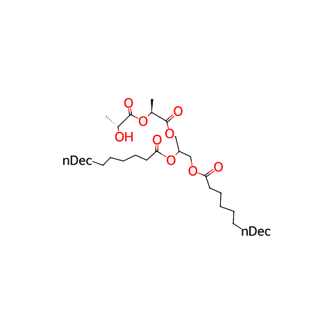 CCCCCCCCCCCCCCCC(=O)OCC(COC(=O)[C@H](C)OC(=O)[C@@H](C)O)OC(=O)CCCCCCCCCCCCCCC